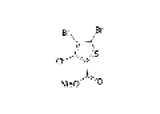 COC(=O)c1sc(Br)c(Br)c1Cl